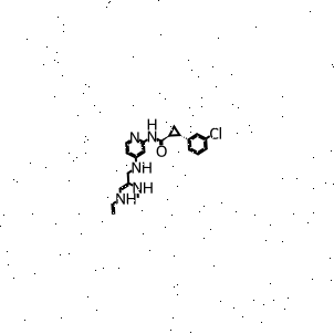 C=CN/C=C(/CNc1ccnc(NC(=O)[C@H]2C[C@@H]2c2cccc(Cl)c2)c1)NC